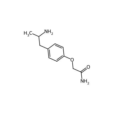 CC(N)Cc1ccc(OCC(N)=O)cc1